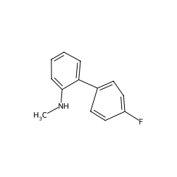 CNc1ccccc1-c1ccc(F)cc1